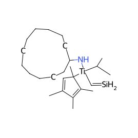 CC1=C[C](C)([Ti]([CH]=[SiH2])([NH]C2CCCCCCCCCCC2)[CH](C)C)C(C)=C1C